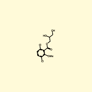 COc1c(Cl)ccc(Cl)c1C(=O)OCC(O)CO